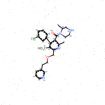 Cc1nc(COCCc2cccnc2)c(C(=O)O)c(-c2cccc(Cl)c2)c1C(=O)N1CCNCC1C